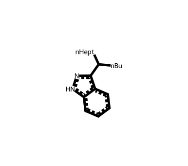 CCCCCCCC(CCCC)c1n[nH]c2ccccc12